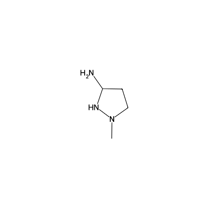 CN1CCC(N)N1